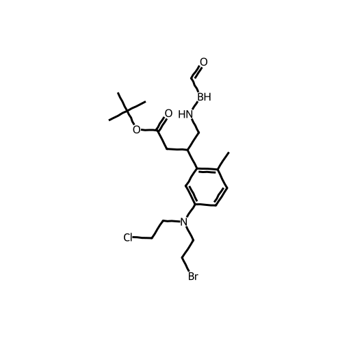 Cc1ccc(N(CCCl)CCBr)cc1C(CNBC=O)CC(=O)OC(C)(C)C